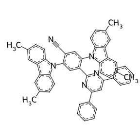 Cc1ccc2c(c1)c1cc(C)ccc1n2-c1cc(-c2nc(-c3ccccc3)cc(-c3ccccc3)n2)c(-n2c3ccc(C)cc3c3cc(C)ccc32)cc1C#N